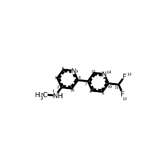 CNc1ccnc(-c2ccc(C(F)F)nc2)c1